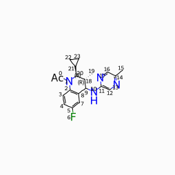 CC(=O)N1c2ccc(F)cc2C(Nc2cnc(C)cn2)[C@@H](C)[C@@H]1C1CC1